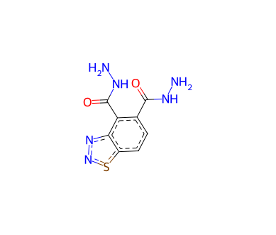 NNC(=O)c1ccc2snnc2c1C(=O)NN